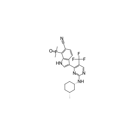 C[C@@H]1CCC[C@H](Nc2ncc(C(F)(F)F)c(-c3c[nH]c4c(P(C)(C)=O)c(C#N)ccc34)n2)C1